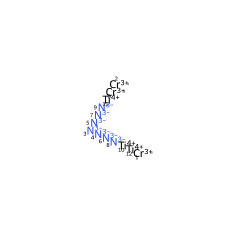 [Cr+3].[Cr+3].[Cr+3].[N-3].[N-3].[N-3].[N-3].[N-3].[N-3].[N-3].[Ti+4].[Ti+4].[Ti+4]